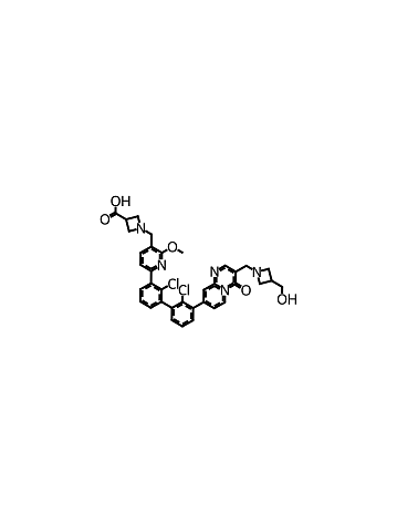 COc1nc(-c2cccc(-c3cccc(-c4ccn5c(=O)c(CN6CC(CO)C6)cnc5c4)c3Cl)c2Cl)ccc1CN1CC(C(=O)O)C1